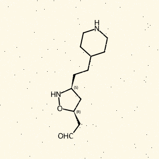 O=C[CH][C@@H]1C[C@H](CCC2CCNCC2)NO1